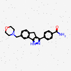 NC(=O)c1ccc(-c2n[nH]c3c2Cc2ccc(CN4CCOCC4)cc2-3)cc1